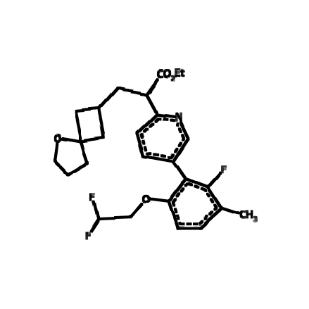 CCOC(=O)C(CC1CC2(CCCO2)C1)c1ccc(-c2c(OCC(F)F)ccc(C)c2F)cn1